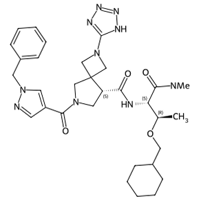 CNC(=O)[C@@H](NC(=O)[C@@H]1CN(C(=O)c2cnn(Cc3ccccc3)c2)CC12CN(c1nnn[nH]1)C2)[C@@H](C)OCC1CCCCC1